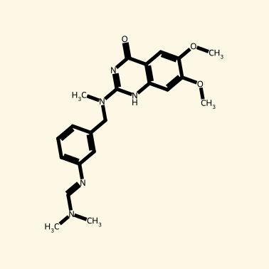 COc1cc2[nH]c(N(C)Cc3cccc(/N=C/N(C)C)c3)nc(=O)c2cc1OC